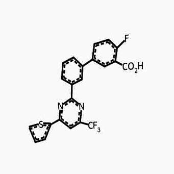 O=C(O)c1cc(-c2cccc(-c3nc(-c4cccs4)cc(C(F)(F)F)n3)c2)ccc1F